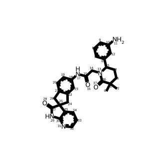 CC1(C)CCC(c2cccc(N)c2)N(CC(=O)Nc2ccc3c(c2)CC2(C3)C(=O)Nc3ncccc32)C1=O